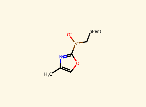 CCCCCC[S+]([O-])c1nc(C)co1